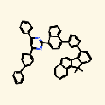 CC1(C)c2cccc(-c3cccc(-c4ccc(-c5nc(-c6ccccc6)cc(-c6ccc(-c7ccccc7)cc6)n5)c5ccccc45)c3)c2-c2ccc3ccccc3c21